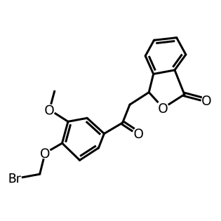 COc1cc(C(=O)CC2OC(=O)c3ccccc32)ccc1OCBr